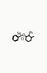 CC(C)C1C(C)CCCC1OP(Cl)(=[Se])c1ccccc1